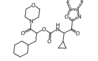 O=C(NC(C(=O)c1nc2ccccc2o1)C1CC1)OC(CC1CCCCC1)C(=O)N1CCOCC1